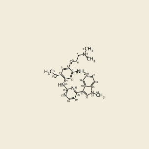 COc1cc(SCCN(C)C)c(N)cc1Nc1nccc(-c2cn(C)c3ccccc23)n1